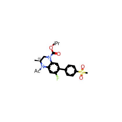 CC(=O)N1c2cc(F)c(-c3ccc(S(C)(=O)=O)cc3)cc2N(C(=O)OC(C)C)C[C@@H]1C